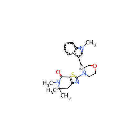 CN1C(=O)c2sc(N3CCOC[C@@H]3Cc3cn(C)c4ccccc34)nc2CC1(C)C